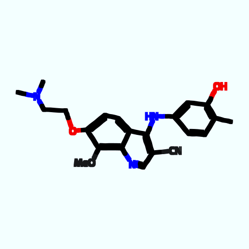 COc1c(OCCN(C)C)ccc2c(Nc3ccc(C)c(O)c3)c(C#N)cnc12